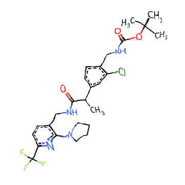 CC(C(=O)NCc1ccc(C(F)(F)F)nc1N1CCCC1)c1ccc(CNC(=O)OC(C)(C)C)c(Cl)c1